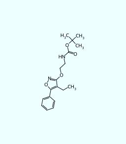 CCc1c(OCCNC(=O)OC(C)(C)C)noc1-c1ccccc1